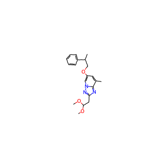 COC(Cc1nc2c(C)cc(OCC(C)c3ccccc3)cn2n1)OC